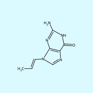 CC=Cn1cnc2c(=O)[nH]c(N)nc21